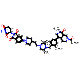 CNC(=O)N1CCc2c(-c3cc(OC)c(CN4CCN(CCC5CCN(c6ccc7c(c6)C(=O)N(C6CCC(=O)NC6=O)C7=O)CC5)CC4C(F)(F)F)c(OC)c3)cn(C)c(=O)c2C1